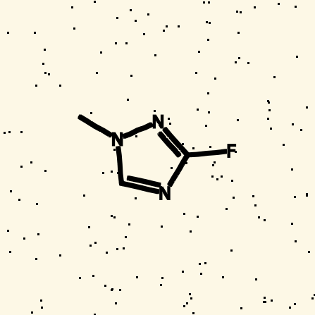 Cn1cnc(F)n1